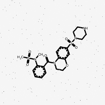 CN(c1ccccc1C(=O)N1CCOc2cc(S(=O)(=O)N3CCNCC3)ccc21)S(C)(=O)=O